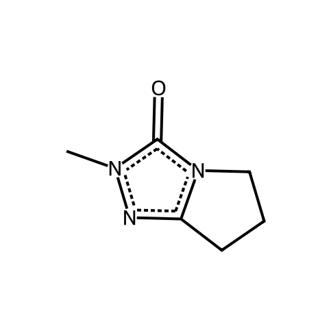 Cn1nc2n(c1=O)CCC2